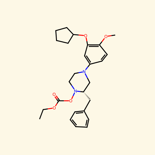 CCOC(=O)ON1CCN(c2ccc(OC)c(OC3CCCC3)c2)C[C@@H]1Cc1ccccc1